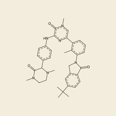 Cc1c(-c2cn(C)c(=O)c(Nc3ccc(C4C(=O)N(C)CCN4C)cc3)n2)cccc1N1Cc2cc(C(C)(C)C)ccc2C1=O